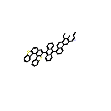 C=C/C=C\c1cc2c(ccc3c(-c4c5ccccc5c(-c5cc6ccc7sc8ccccc8c7c6c6c5sc5ccccc56)c5ccccc45)cccc32)c(CC)c1C